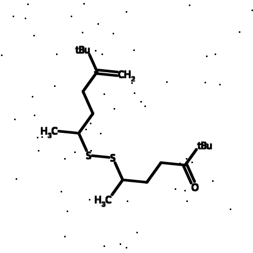 C=C(CCC(C)SSC(C)CCC(=O)C(C)(C)C)C(C)(C)C